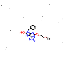 CCOCCCOc1nc(N)c2nc(O)n(Cc3ccccc3)c2n1